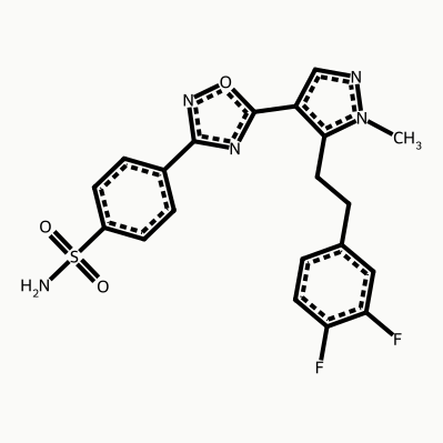 Cn1ncc(-c2nc(-c3ccc(S(N)(=O)=O)cc3)no2)c1CCc1ccc(F)c(F)c1